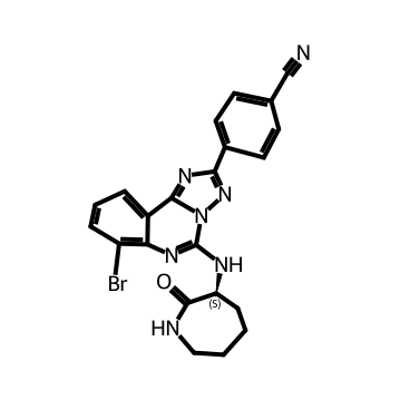 N#Cc1ccc(-c2nc3c4cccc(Br)c4nc(N[C@H]4CCCCNC4=O)n3n2)cc1